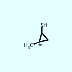 C[C@@H]1CC1S